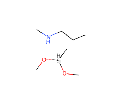 CCCNC.CO[SiH](C)OC